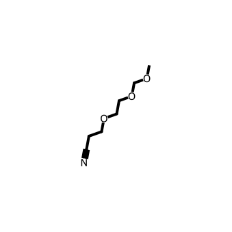 COCOCCOCCC#N